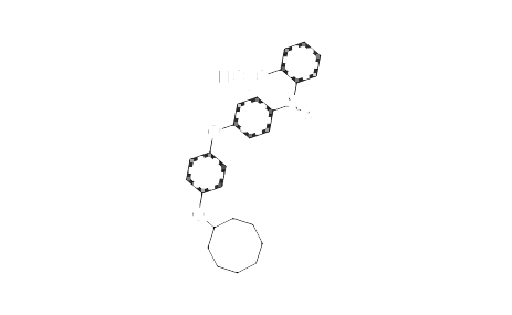 CC(=O)N(c1ccc(Oc2ccc(OC3CCCCCCC3)cc2)cc1)c1ccccc1C(=O)O